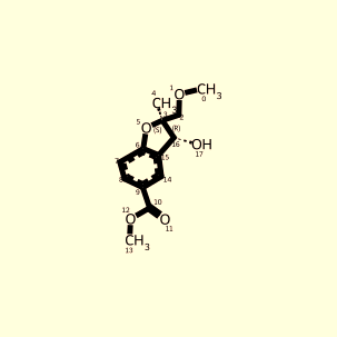 COC[C@]1(C)Oc2ccc(C(=O)OC)cc2[C@H]1O